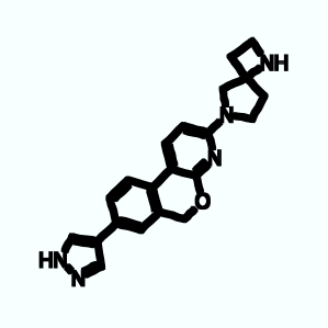 c1cc2c(cc1-c1cn[nH]c1)COc1nc(N3CCC4(CCN4)C3)ccc1-2